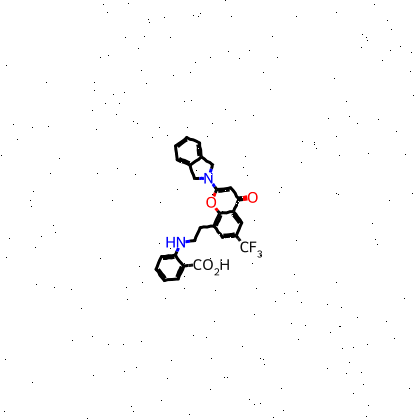 O=C(O)c1ccccc1NCCc1cc(C(F)(F)F)cc2c(=O)cc(N3Cc4ccccc4C3)oc12